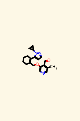 Cc1cncc(OCC2=C(c3ccnn3C3CC3)CCCC2)c1C=O